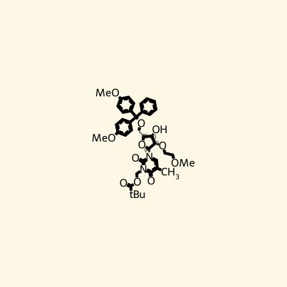 COCCO[C@@H]1[C@H](O)[C@@H](COC(c2ccccc2)(c2ccc(OC)cc2)c2ccc(OC)cc2)O[C@H]1n1cc(C)c(=O)n(COC(=O)C(C)(C)C)c1=O